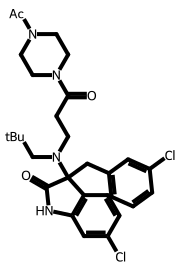 CC(=O)N1CCN(C(=O)CCN(CC(C)(C)C)C2(Cc3cccc(Cl)c3)C(=O)Nc3cc(Cl)ccc32)CC1